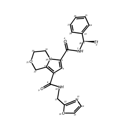 CC[C@@H](NC(=O)c1cc(C(=O)NCc2ncco2)c2n1CCOC2)c1ccccc1